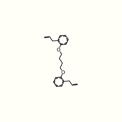 C=CCc1ccccc1OCCCCOc1ccccc1CC=C